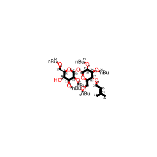 CCCCOCC1O[C@H](O[C@H]2O[C@H](COCCCC)[C@@H](O)C(OCCCC)C2OCCCC)[C@@H](OCCCC)C(OCCCC)[C@@H]1OCC=C(C)C